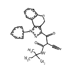 CC(C)(C)NC(=O)C(C#N)C(=O)c1nn(-c2ccccc2)c2c1COc1ccccc1-2